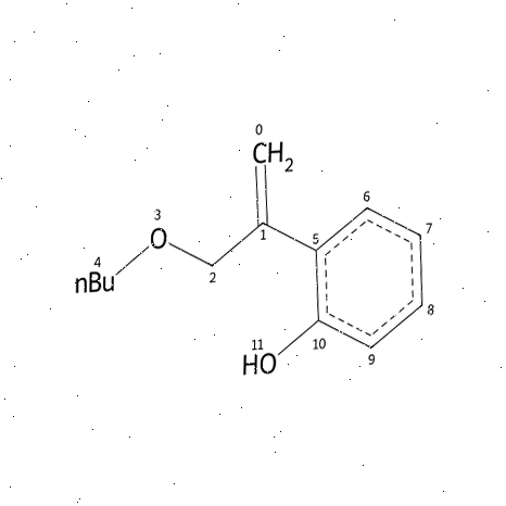 C=C(COCCCC)c1ccccc1O